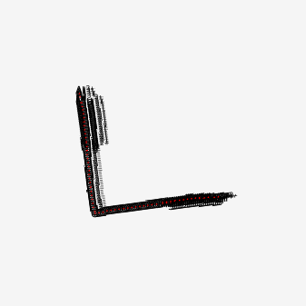 [Al+3].[Al+3].[Al+3].[Al+3].[Al+3].[Al+3].[Al+3].[Al+3].[Al+3].[Al+3].[Mg+2].[Mg+2].[Mg+2].[Mg+2].[Mg+2].[Mg+2].[Mg+2].[Mg+2].[Mg+2].[Mg+2].[Mg+2].[Mg+2].[Mg+2].[Mg+2].[Mg+2].[Mg+2].[Mg+2].[Mg+2].[Mg+2].[Mg+2].[Mg+2].[Mg+2].[Mg+2].[Mg+2].[Mg+2].[Mg+2].[Mg+2].[Mg+2].[Mg+2].[Mg+2].[Mg+2].[Mg+2].[Mg+2].[Mg+2].[Mg+2].[Mg+2].[Mg+2].[Mg+2].[Mg+2].[Mg+2].[Mg+2].[Mg+2].[Mg+2].[Mg+2].[Mg+2].[Mg+2].[Mg+2].[Mg+2].[Mg+2].[Mg+2].[O-2].[O-2].[O-2].[O-2].[O-2].[O-2].[O-2].[O-2].[O-2].[O-2].[O-2].[O-2].[O-2].[O-2].[O-2].[O-2].[O-2].[O-2].[O-2].[O-2].[O-2].[O-2].[O-2].[O-2].[O-2].[O-2].[O-2].[O-2].[O-2].[O-2].[O-2].[O-2].[O-2].[O-2].[O-2].[O-2].[O-2].[O-2].[O-2].[O-2].[O-2].[O-2].[O-2].[O-2].[O-2].[O-2].[O-2].[O-2].[O-2].[O-2].[O-2].[O-2].[O-2].[O-2].[O-2].[O-2].[O-2].[O-2].[O-2].[O-2].[O-2].[O-2].[O-2].[O-2].[O-2]